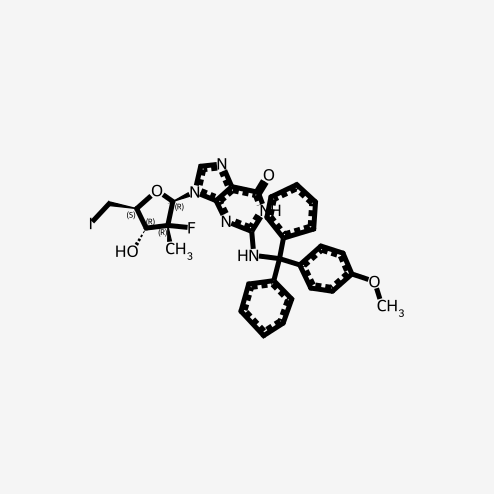 COc1ccc(C(Nc2nc3c(ncn3[C@@H]3O[C@H](CI)[C@@H](O)[C@@]3(C)F)c(=O)[nH]2)(c2ccccc2)c2ccccc2)cc1